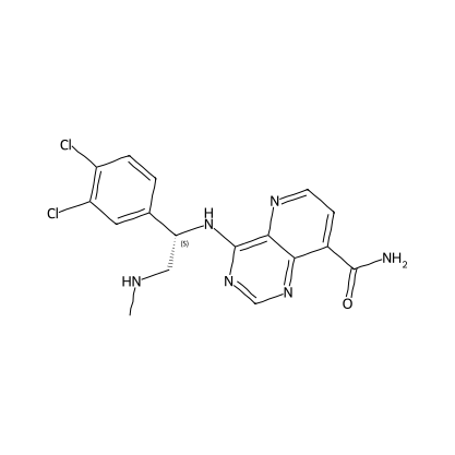 CNC[C@@H](Nc1ncnc2c(C(N)=O)ccnc12)c1ccc(Cl)c(Cl)c1